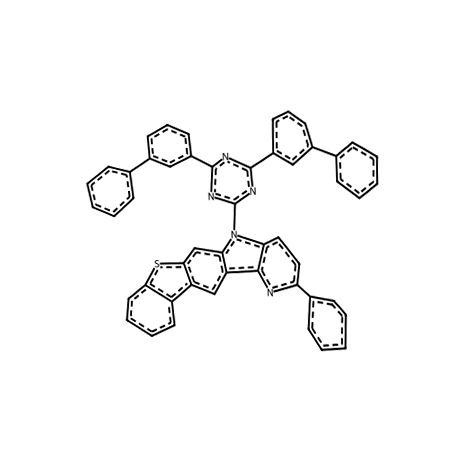 c1ccc(-c2cccc(-c3nc(-c4cccc(-c5ccccc5)c4)nc(-n4c5cc6sc7ccccc7c6cc5c5nc(-c6ccccc6)ccc54)n3)c2)cc1